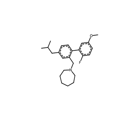 COc1ccc(F)c(-c2ccc(CC(C)C)cc2CN2CCCCCC2)c1